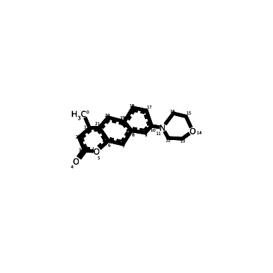 Cc1cc(=O)oc2cc3cc(N4CCOCC4)ccc3cc12